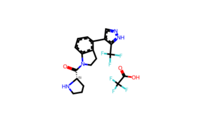 O=C(O)C(F)(F)F.O=C([C@@H]1CCCN1)N1CCc2c(-c3cn[nH]c3C(F)(F)F)cccc21